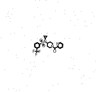 O=C(c1ccccn1)N1CCC(N(C2CC2)S(=O)(=O)c2cccc(C(F)(F)F)c2)CC1